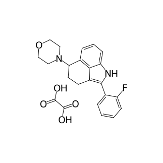 Fc1ccccc1-c1[nH]c2cccc3c2c1CCC3N1CCOCC1.O=C(O)C(=O)O